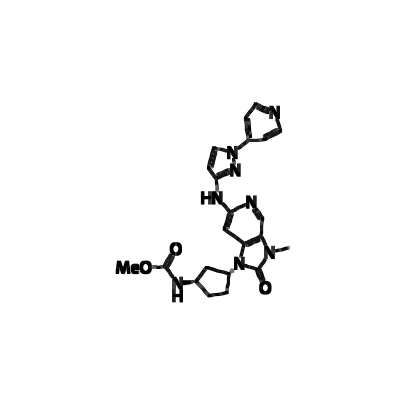 COC(=O)N[C@@H]1CC[C@@H](n2c(=O)n(C)c3cnc(Nc4ccn(-c5ccncc5)n4)cc32)C1